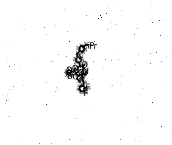 CCC(CCC(C(=O)c1ncco1)C1CCN(Cc2ccc(CC(C)C)cc2)CC1)(C(=O)c1ncco1)C1CCN(Cc2cccc(F)c2F)CC1